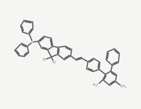 CCC1(CC)c2cc(/C=C/c3ccc(-c4c(C)cc(C)cc4-c4ccccc4)cc3)ccc2-c2ccc(N(c3ccccc3)c3ccccc3)cc21